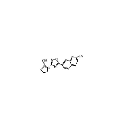 N#Cc1ccc2ccc(-c3nc([C@@H]4CCCN4C#N)no3)cc2n1